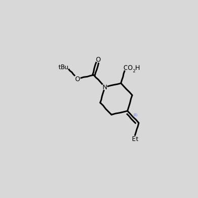 CC/C=C1\CCN(C(=O)OC(C)(C)C)C(C(=O)O)C1